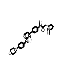 O=C(C[C@@H]1CCCN1)Nc1ccc(-c2ccnc(Nc3ccc(N4CCOCC4)cc3)n2)cc1